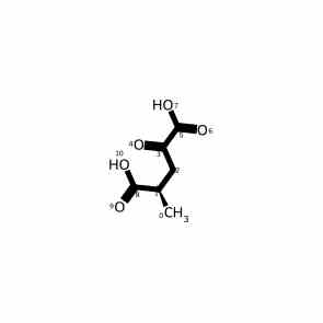 C[C@H](CC(=O)C(=O)O)C(=O)O